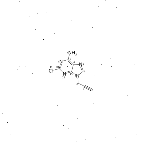 C#CCn1cnc2c(N)nc(Cl)nc21